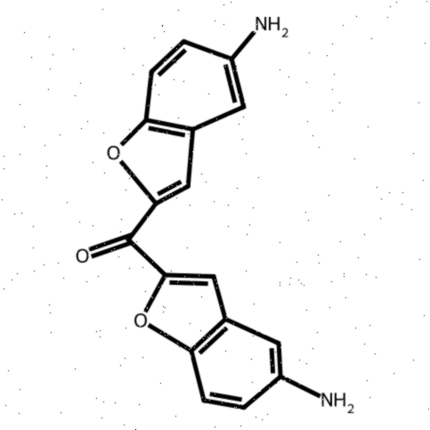 Nc1ccc2oc(C(=O)c3cc4cc(N)ccc4o3)cc2c1